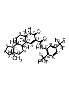 C[C@@]12CCC[C@H]1[C@@H]1CC[C@H]3NC(=O)C(C(=O)Nc4cc(C(F)(F)F)ccc4C(F)(F)F)=C[C@]3(C)[C@H]1CC2